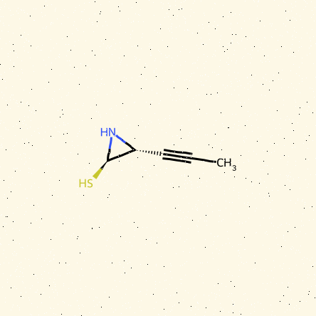 CC#C[C@H]1N[C@@H]1S